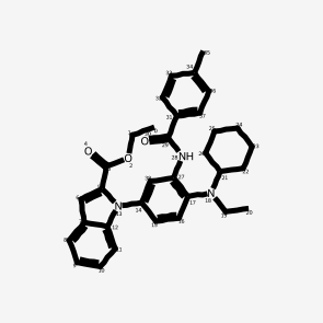 CCOC(=O)c1cc2ccccc2n1-c1ccc(N(CC)C2CCCCC2)c(NC(=O)c2ccc(C)cc2)c1